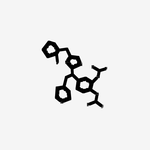 Fc1ccccc1Cc1cnc(C(Cc2ccncc2)c2ccc(OC(F)F)c(OC(F)F)c2)s1